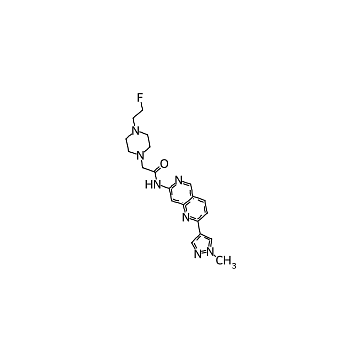 Cn1cc(-c2ccc3cnc(NC(=O)CN4CCN(CCF)CC4)cc3n2)cn1